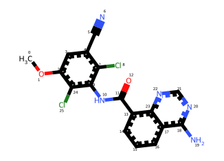 COc1cc(C#N)c(Cl)c(NC(=O)c2cccc3c(N)ncnc23)c1Cl